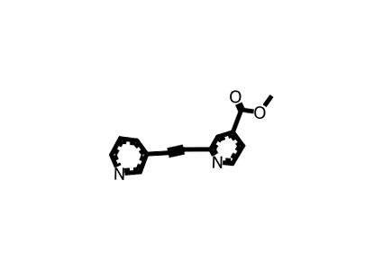 COC(=O)c1ccnc(C#Cc2cccnc2)c1